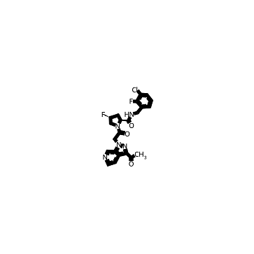 CC(=O)c1nn(CC(=O)N2C[C@H](F)C[C@H]2C(=O)NCc2cccc(Cl)c2F)c2cnccc12